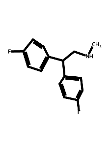 CNCC(c1ccc(F)cc1)c1ccc(F)cc1